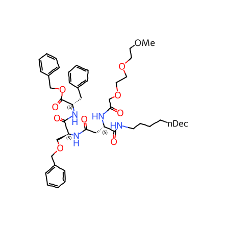 CCCCCCCCCCCCCCNC(=O)[C@H](CC(=O)N[C@@H](COCc1ccccc1)C(=O)N[C@@H](Cc1ccccc1)C(=O)OCc1ccccc1)NC(=O)COCCOCCOC